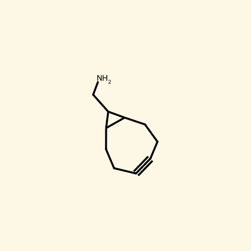 NCC1C2CCC#CCCC12